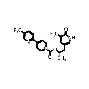 C[C@@H](Cc1c[nH]c(=O)c(C(F)(F)F)c1)OC(=O)N1CC=C(c2ccc(C(F)(F)F)cn2)CC1